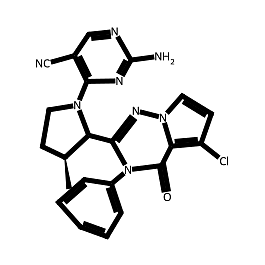 C[C@H]1CCN(c2nc(N)ncc2C#N)C1c1nn2ccc(Cl)c2c(=O)n1-c1ccccc1